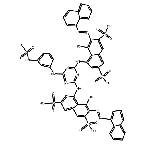 CS(=O)(=O)Nc1cccc(Nc2nc(Nc3cc(S(=O)(=O)O)cc4cc(S(=O)(=O)O)c(N=Nc5cccc6ccccc56)c(O)c34)nc(Nc3cc(S(=O)(=O)O)cc4cc(S(=O)(=O)O)c(N=Nc5cccc6ccccc56)c(O)c34)n2)c1